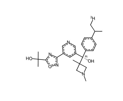 [2H]CC(C)c1ccc([C@](O)(c2cncc(-c3noc(C(C)(C)O)n3)c2)C2(C)CN(C)C2)cc1